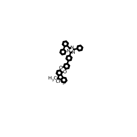 CC1(C)c2ccccc2-c2c1ccc1c2Oc2ccc(-c3ccc(-c4nc(-c5ccccc5)nc(-c5ccccc5-c5ccccc5)n4)cc3)cc2O1